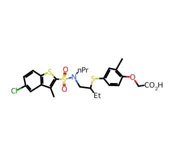 CCCN(CC(CC)Sc1ccc(OCC(=O)O)c(C)c1)S(=O)(=O)c1sc2ccc(Cl)cc2c1C